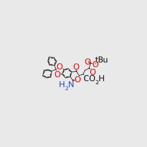 CC(C)(C)OC(=O)C(=O)C[C@H](CC(=O)c1cc2c(cc1C(N)=O)OC(c1ccccc1)(c1ccccc1)O2)C(=O)O